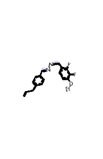 C=CCc1ccc(/C=N/N=C\c2ccc(OCC)c(F)c2F)cc1